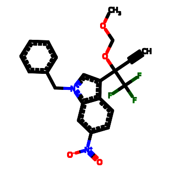 C#CC(OCOC)(c1cn(Cc2ccccc2)c2cc([N+](=O)[O-])ccc12)C(F)(F)F